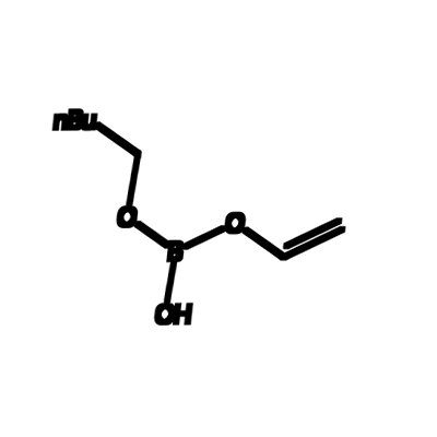 C=COB(O)OCCCCC